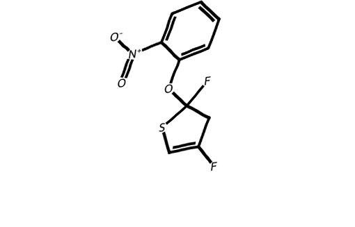 O=[N+]([O-])c1ccccc1OC1(F)CC(F)=CS1